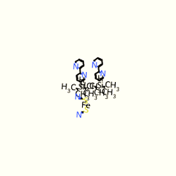 CC(C)[SiH](c1ccc(-c2ccccn2)nc1)C(C)C.CC(C)[SiH](c1ccc(-c2ccccn2)nc1)C(C)C.N#C[S][Fe][S]C#N